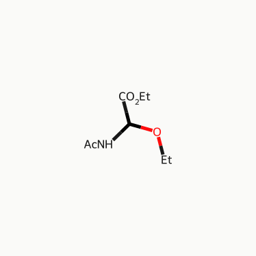 CCOC(=O)C(NC(C)=O)OCC